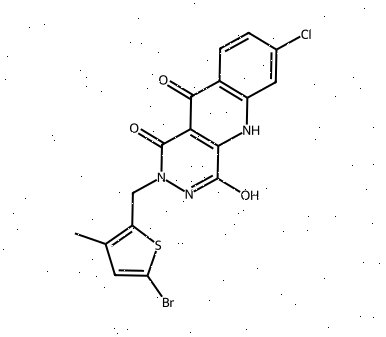 Cc1cc(Br)sc1Cn1nc(O)c2[nH]c3cc(Cl)ccc3c(=O)c2c1=O